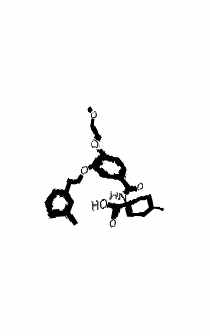 COCCOc1ccc(C(=O)N[C@]2(C(=O)O)CC[C@@H](C)CC2)cc1OCCc1cccc(C)c1